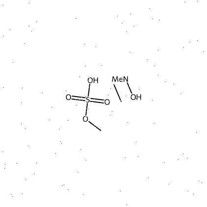 CC.CNO.COS(=O)(=O)O